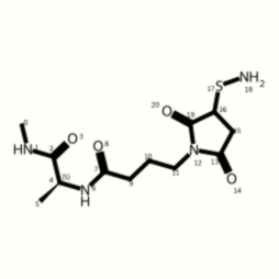 CNC(=O)[C@H](C)NC(=O)CCCN1C(=O)CC(SN)C1=O